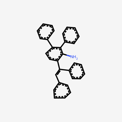 Nc1c(C(=Cc2ccccc2)c2ccccc2)ccc(-c2ccccc2)c1-c1ccccc1